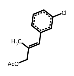 CC(=O)OC/C(C)=C/c1cccc(Cl)c1